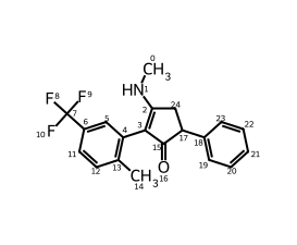 CNC1=C(c2cc(C(F)(F)F)ccc2C)C(=O)C(c2ccccc2)C1